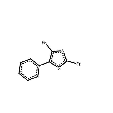 CCc1nc(CC)c(-c2ccccc2)s1